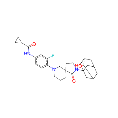 O=C(Nc1ccc(N2CCCC3(CCN(C45CC6CC(C4)C(O)C(C6)C5)C3=O)C2)c(F)c1)C1CC1